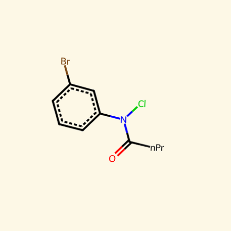 CCCC(=O)N(Cl)c1cccc(Br)c1